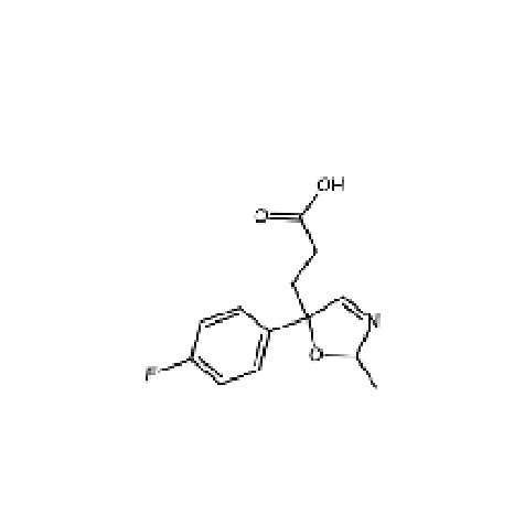 CC1N=CC(CCC(=O)O)(c2ccc(F)cc2)O1